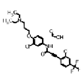 CCN(CC)CCCOc1ccc(NC(=O)C#Cc2ccc(C(F)(F)F)cc2Cl)cc1Cl.O=CO